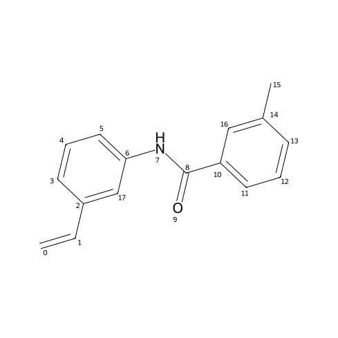 C=Cc1cccc(NC(=O)c2cccc(C)c2)c1